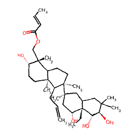 C=CCC1[C@@]2(C)CC[C@H](O)[C@](C)(COC(=O)/C=C/C)C2CC[C@@]1(C)[C@@]1(C)CC2CC(C)(C)[C@@H](O)[C@H](O)[C@]2(CC)[C@H](O)C1